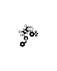 CCc1nc(C(N)=O)c(Nc2cccc(S(C)(=O)=O)c2)nc1N[C@@H]1CCN(Cc2ccccc2)C1